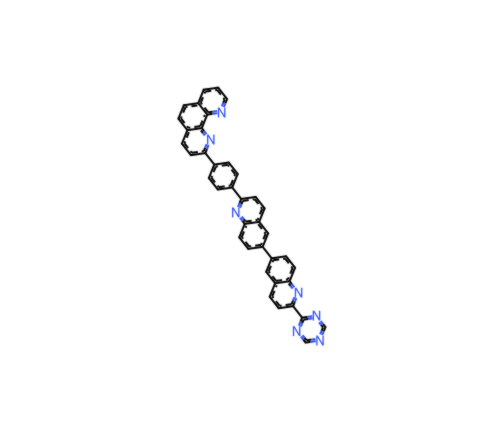 c1cnc2c(c1)ccc1ccc(-c3ccc(-c4ccc5cc(-c6ccc7nc(-c8ncncn8)ccc7c6)ccc5n4)cc3)nc12